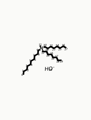 CCCCCCCCCC[N+](C)(CCCCCCCC)CCCCCCCC.[OH-]